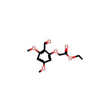 CCOC(=O)COc1cc(OC)cc(OC)c1C=O